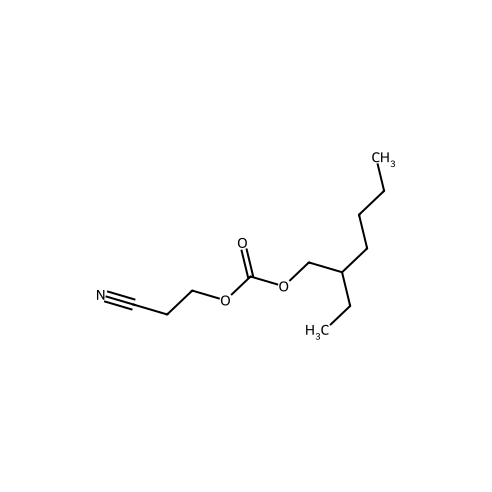 CCCCC(CC)COC(=O)OCCC#N